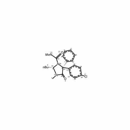 CCCC[C@H]1N(C)C(=O)[C@](c2ccccc2)(c2ccc(Cl)cc2)N1C(=O)NC